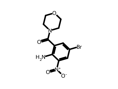 Nc1c(C(=O)N2CCOCC2)cc(Br)cc1[N+](=O)[O-]